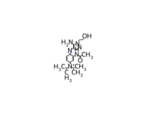 CC(=O)NC1=CC(=[N+](C(C)C)C(C)C)C=C/C1=N/c1cnn(CCO)c1N